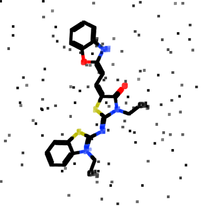 CCN1C(=O)/C(=C\C=C2\Nc3ccccc3O2)S/C1=N\c1sc2ccccc2[n+]1CC